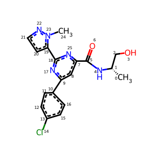 C[C@@H](CO)NC(=O)c1cc(-c2ccc(Cl)cc2)nc(-c2ccnn2C)n1